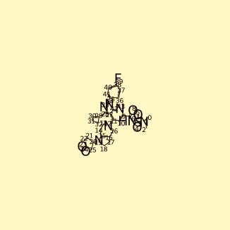 CN(C)S(=O)(=O)NC(=O)c1cc(N2CCC3C(CCN3C3CCOOC3)C2)c2c(C3CCC3)nn(-c3ccc(F)cc3)c2n1